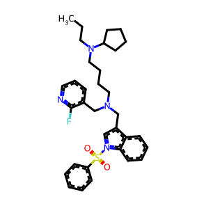 CCCN(CCCCN(Cc1cccnc1F)Cc1cn(S(=O)(=O)c2ccccc2)c2ccccc12)C1CCCC1